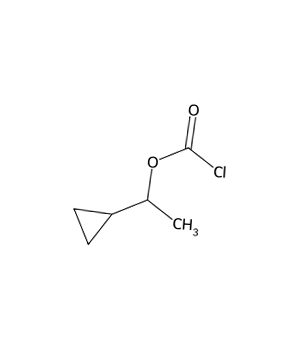 CC(OC(=O)Cl)C1CC1